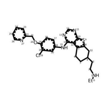 CCNCCC1CCc2c(sc3ncnc(Nc4ccc(OCc5ccccn5)c(Cl)c4)c23)C1